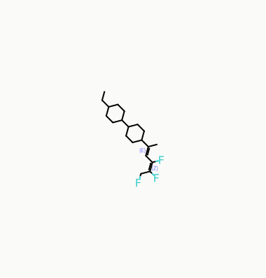 CCC1CCC(C2CCC(/C(C)=C/C(F)=C(/F)CF)CC2)CC1